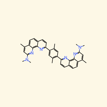 Cc1cc(-c2ccc3ccc4c(C)cc(N(C)C)nc4c3n2)c(C)cc1-c1ccc2ccc3c(C)cc(N(C)C)nc3c2n1